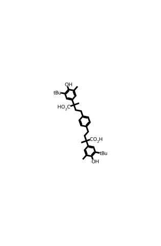 Cc1cc(C(C)(CCc2ccc(CCC(C)(C(=O)O)c3cc(C)c(O)c(C(C)(C)C)c3)cc2)C(=O)O)cc(C(C)(C)C)c1O